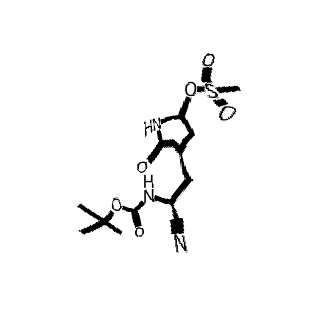 CC(C)(C)OC(=O)N[C@H](C#N)C[C@@H]1CC(OS(C)(=O)=O)NC1=O